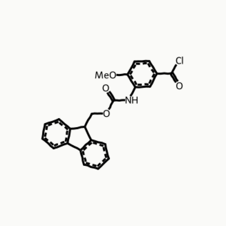 COc1ccc(C(=O)Cl)cc1NC(=O)OCC1c2ccccc2-c2ccccc21